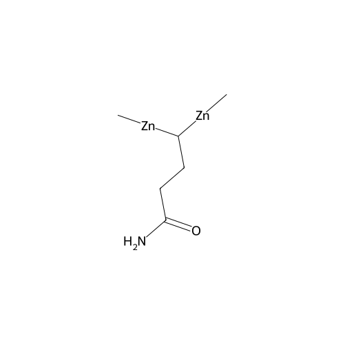 [CH3][Zn][CH](CCC(N)=O)[Zn][CH3]